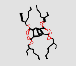 CCCCC(CC)COC(=O)C1C2C=CC(C1C(=O)OCC(CC)CCCC)C(C(=O)OCC(CC)CCCC)C2C(=O)OCC(CC)CCCC